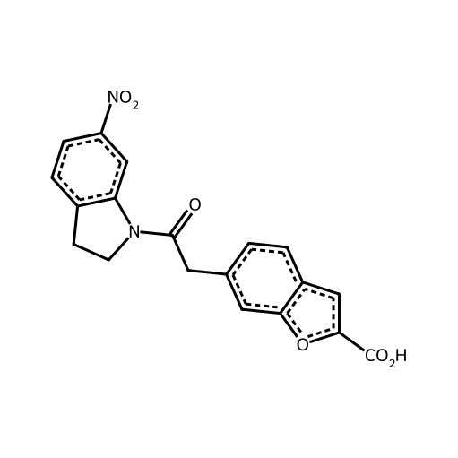 O=C(O)c1cc2ccc(CC(=O)N3CCc4ccc([N+](=O)[O-])cc43)cc2o1